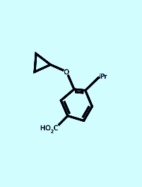 CC(C)c1ccc(C(=O)O)cc1OC1CC1